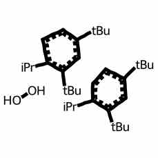 CC(C)c1ccc(C(C)(C)C)cc1C(C)(C)C.CC(C)c1ccc(C(C)(C)C)cc1C(C)(C)C.OO